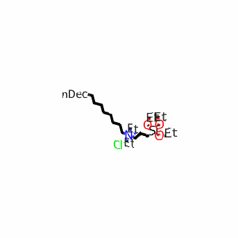 CCCCCCCCCCCCCCCCCC[N+](CC)(CC)CCC[Si](OCC)(OCC)OCC.[Cl-]